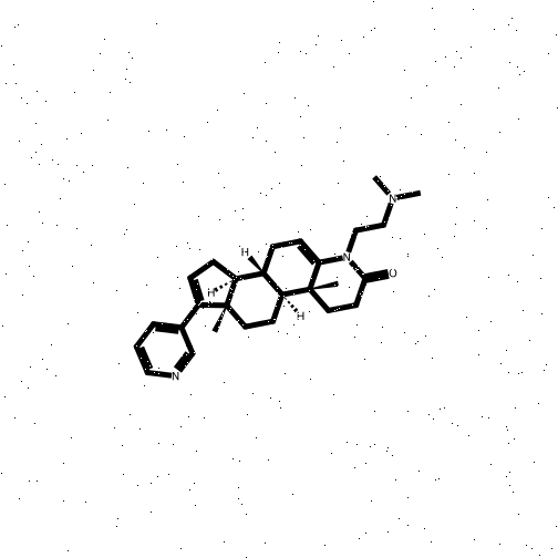 CN(C)CCN1C(=O)CC[C@@]2(C)C1=CC[C@@H]1[C@@H]2CC[C@]2(C)C(c3cccnc3)=CC[C@@H]12